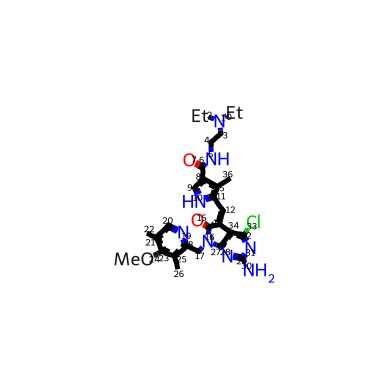 CCN(CC)CCNC(=O)c1c[nH]c(C=C2C(=O)N(Cc3ncc(C)c(OC)c3C)c3nc(N)nc(Cl)c32)c1C